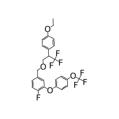 CCOc1ccc(C(COCc2ccc(F)c(Oc3ccc(OC(F)(F)F)cc3)c2)C(F)(F)F)cc1